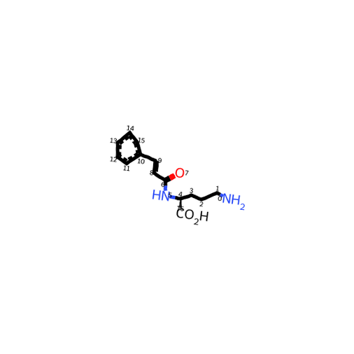 NCCC[C@H](NC(=O)C=Cc1ccccc1)C(=O)O